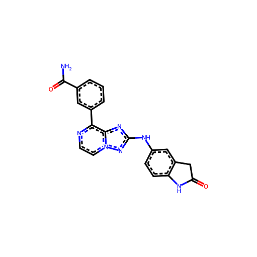 NC(=O)c1cccc(-c2nccn3nc(Nc4ccc5c(c4)CC(=O)N5)nc23)c1